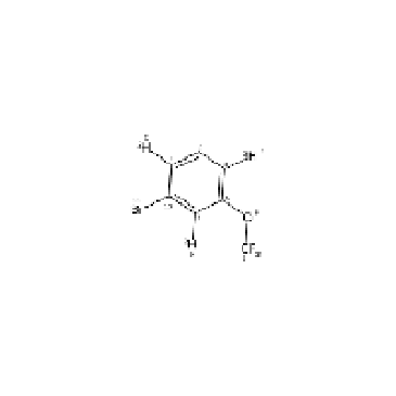 [2H]c1cc([2H])c(OC(F)(F)F)c([2H])c1Br